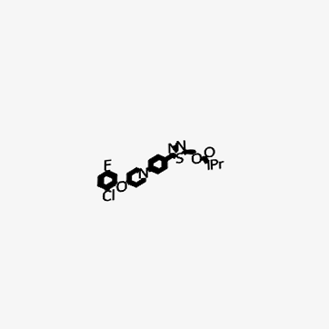 CC(C)C(=O)OCc1nnc(-c2ccc(N3CCC(Oc4cc(F)ccc4Cl)CC3)cc2)s1